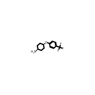 N[C@H]1CC[C@@H](Oc2ccc(C(F)(F)F)cc2)CC1